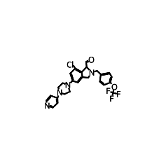 O=CC1c2c(Cl)cc(N3CCN(c4ccncc4)CC3)cc2CN1Cc1ccc(OC(F)(F)F)cc1